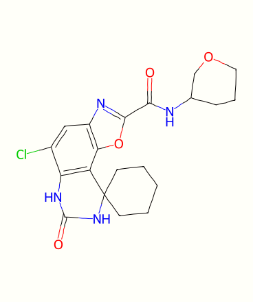 O=C1Nc2c(Cl)cc3nc(C(=O)NC4CCCOC4)oc3c2C2(CCCCC2)N1